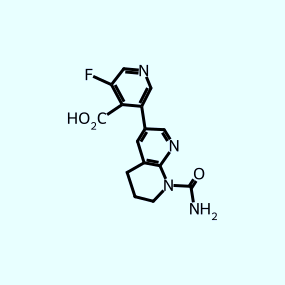 NC(=O)N1CCCc2cc(-c3cncc(F)c3C(=O)O)cnc21